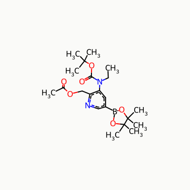 CCN(C(=O)OC(C)(C)C)c1cc(B2OC(C)(C)C(C)(C)O2)cnc1COC(C)=O